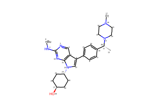 CCCCNc1ncc2c(-c3ccc([C@@H](C)N4CCN(CC)CC4)cc3)cn([C@H]3CC[C@H](O)CC3)c2n1